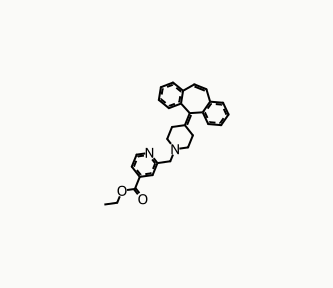 CCOC(=O)c1ccnc(CN2CCC(=C3c4ccccc4C=Cc4ccccc43)CC2)c1